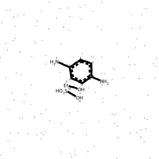 CCO.Nc1ccc(N)cc1.O=S(=O)(O)O